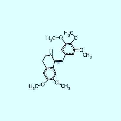 COc1cc2c(cc1OC)/C(=C/c1cc(OC)c(OC)c(OC)c1)NCC2